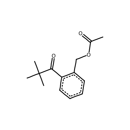 CC(=O)OCc1ccccc1C(=O)C(C)(C)C